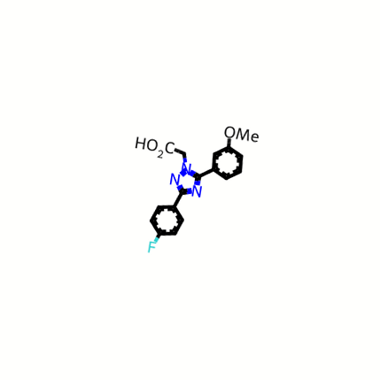 COc1cccc(-c2nc(-c3ccc(F)cc3)nn2CC(=O)O)c1